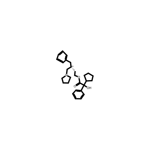 O=C(OCC[C@@H](Cc1ccccc1)CN1CCCC1)C(O)(c1ccccc1)C1CCCC1